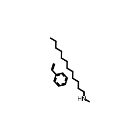 C=Cc1ccccc1.CCCCCCCCCCCCNC